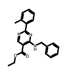 CCOC(=O)c1cnc(-c2ccccc2C)nc1NCc1ccccc1